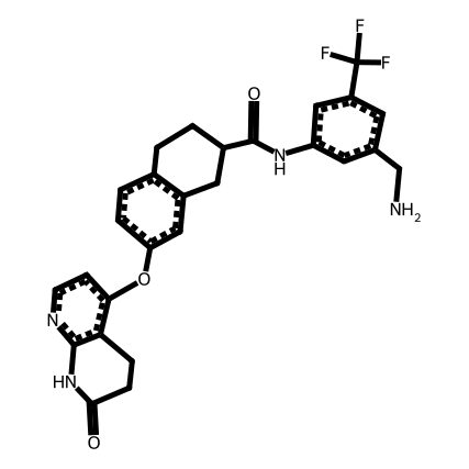 NCc1cc(NC(=O)C2CCc3ccc(Oc4ccnc5c4CCC(=O)N5)cc3C2)cc(C(F)(F)F)c1